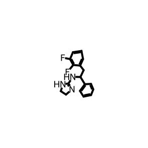 Fc1cccc(CC(NC2=NCCN2)c2ccccc2)c1F